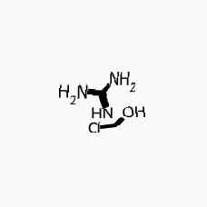 N=C(N)N.OCCl